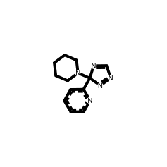 C1=NC(c2ccccn2)(N2CCCCC2)N=N1